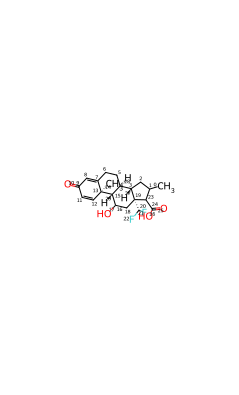 CC1C[C@H]2[C@@H]3CCC4=CC(=O)C=C[C@]4(C)[C@H]3C(O)C[C@]2(C(F)F)C1C(=O)O